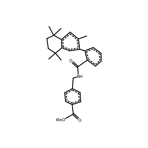 COC(=O)c1ccc(CNC(=O)c2ccccc2-c2cc3c(cc2C)C(C)(C)CCC3(C)C)cc1